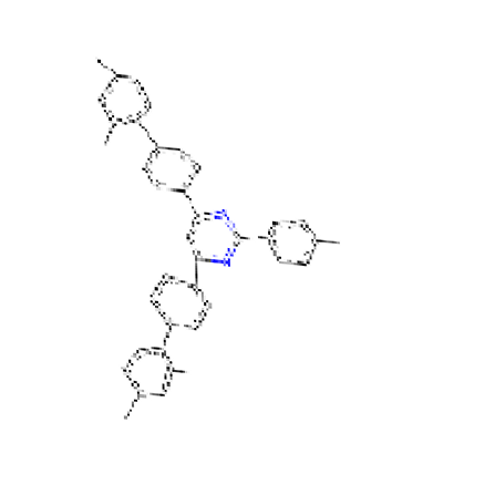 Cc1ccc(-c2nc(-c3ccc(-c4ccc(C)cc4C)cc3)cc(-c3ccc(-c4ccc(C)cc4C)cc3)n2)cc1